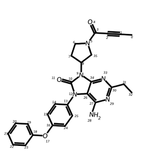 CC#CC(=O)N1CCC(n2c(=O)n(-c3ccc(Oc4ccccc4)cc3)c3c(N)nc(CC)nc32)C1